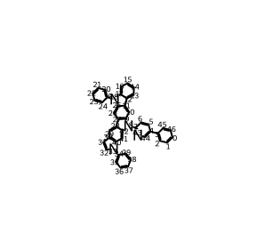 c1ccc(-c2ccc(-n3c4cc5c6ccccc6n(-c6ccccc6)c5cc4c4cc5ccn(-c6ccccc6)c5cc43)nc2)cc1